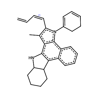 C=C/C=C\c1c(C)c2c3c(c4ccccc4c2n1C1=CC=CCC1)C1CCCCC1N3